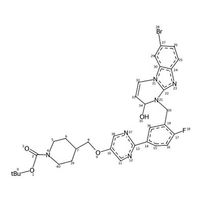 CC(C)(C)OC(=O)N1CCC(COc2cnc(-c3ccc(F)c(CN4c5nc6ccc(Br)cc6n5C=CC4O)c3)nc2)CC1